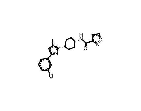 O=C(N[C@H]1CC[C@@H](c2nc(-c3cccc(Cl)c3)c[nH]2)CC1)c1ccon1